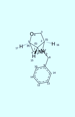 N[C@H]1[C@H]2CO[C@@H]1CN2Cc1ccccc1